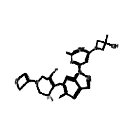 Cc1nc(N2CC(C)(O)C2)cc(-n2ncc3cc(C)c(C4C(F)CN(C5COC5)C[C@H]4C)cc32)n1